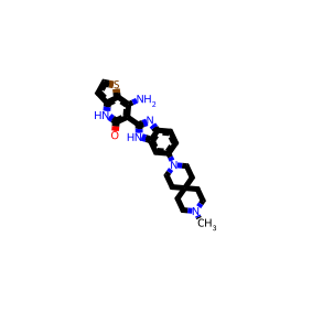 CN1CCC2(CC1)CCN(c1ccc3nc(-c4c(N)c5sccc5[nH]c4=O)[nH]c3c1)CC2